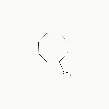 CC1/C=C\CCCCC1